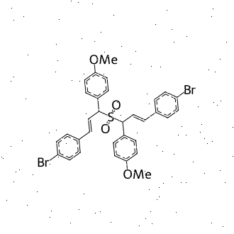 COc1ccc(C(C=Cc2ccc(Br)cc2)S(=O)(=O)C(C=Cc2ccc(Br)cc2)c2ccc(OC)cc2)cc1